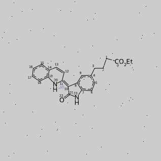 CCOC(=O)CCCc1ccc2c(c1)/C(=C1\C=Cc3ccccc3N1)C(=O)N2